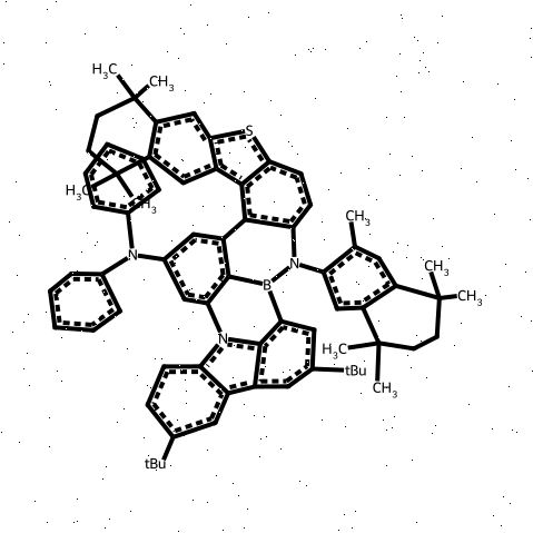 Cc1cc2c(cc1N1B3c4c(cc(N(c5ccccc5)c5ccccc5)cc4-n4c5ccc(C(C)(C)C)cc5c5cc(C(C)(C)C)cc3c54)-c3c1ccc1sc4cc5c(cc4c31)C(C)(C)CCC5(C)C)C(C)(C)CCC2(C)C